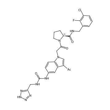 CC(=O)c1cn(CC(=O)N2CCC[C@H]2C(=O)NCc2cccc(Cl)c2F)c2ccc(NC(=O)NCc3nn[nH]n3)cc12